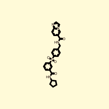 O=C(NCc1ccc(S(=O)(=O)c2cccc(C(=O)NC3CCCC3)c2)cc1)c1ccc2nccn2c1